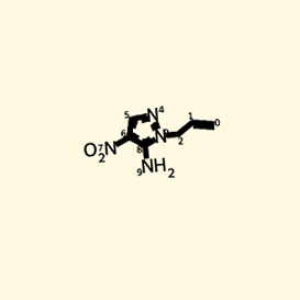 C=CCn1ncc([N+](=O)[O-])c1N